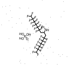 CC(C)NC(CC(F)(F)C(F)(F)C(F)(F)C(F)(F)C(F)(F)C(F)F)CC(F)(F)C(F)(F)C(F)(F)C(F)(F)C(F)(F)C(F)F.O=P(O)(O)O